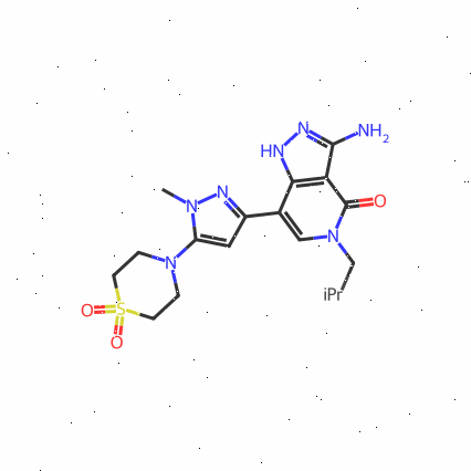 CC(C)Cn1cc(-c2cc(N3CCS(=O)(=O)CC3)n(C)n2)c2[nH]nc(N)c2c1=O